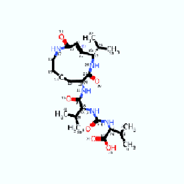 CC(C)[C@H](NC(=O)N[C@H](C(=O)N[C@H]1CCCCNC(=O)/C=C/[C@H](C(C)C)NC1=O)C(C)C)C(=O)O